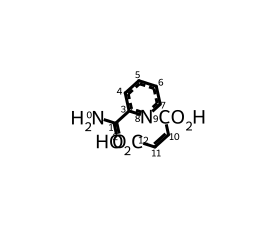 NC(=O)c1ccccn1.O=C(O)/C=C\C(=O)O